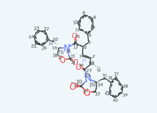 C[C@@H](/C=C/C(Cc1ccccc1)C(=O)N1C(=O)OC[C@@H]1Cc1ccccc1)C(=O)N1C(=O)OC[C@@H]1Cc1ccccc1